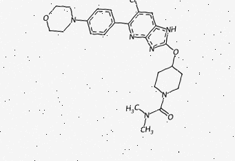 CN(C)C(=O)N1CCC(Oc2nc3nc(-c4ccc(N5CCOCC5)cc4)c(Cl)cc3[nH]2)CC1